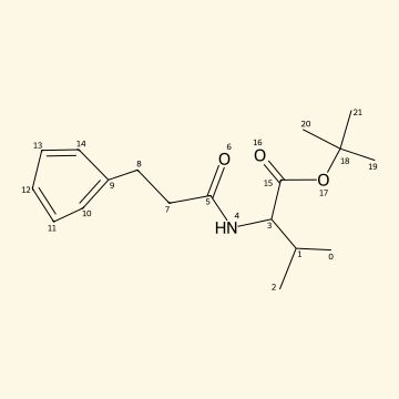 CC(C)C(NC(=O)CCc1ccccc1)C(=O)OC(C)(C)C